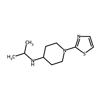 CC(C)NC1CCN(c2nccs2)CC1